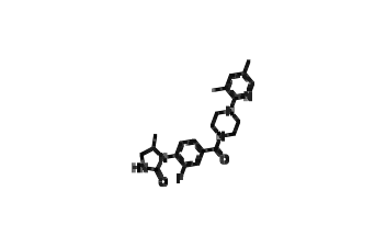 Cc1cnc(N2CCN(C(=O)c3ccc(N4C(=O)NCC4C)c(F)c3)CC2)c(C)c1